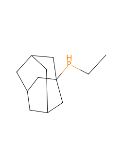 CCPC12CC3CC(CC(C3)C1)C2